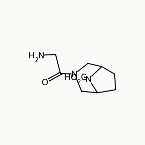 NCC(=O)N1CC2CCC(C1)N2C(=O)O